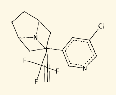 C#CC1(c2cncc(Cl)c2)CC2CCC(C1)N2CC(F)(F)F